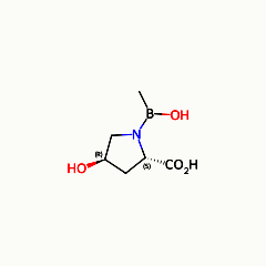 CB(O)N1C[C@H](O)C[C@H]1C(=O)O